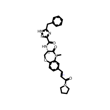 CN1C(=O)[C@@H](NC(=O)c2n[nH]c(Cc3ccccc3)n2)COc2ccc(/C=C/C(=O)N3CCCC3)cc21